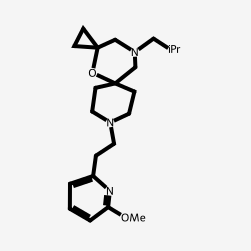 COc1cccc(CCN2CCC3(CC2)CN(CC(C)C)CC2(CC2)O3)n1